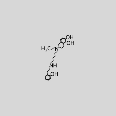 CCCN(CCCCCCNCCCc1ccccc1O)[C@H]1CCc2c(ccc(O)c2O)C1